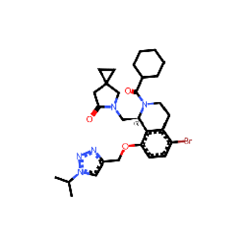 CC(C)n1cc(COc2ccc(Br)c3c2[C@@H](CN2CC4(CC4)CC2=O)N(C(=O)C2CCCCC2)CC3)nn1